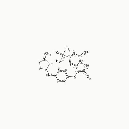 CN1CCC(Nc2ccc(Cn3c(=O)[nH]c4c(N)nc(P(C)(C)=O)nc43)cn2)C1